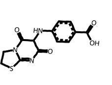 O=C(O)c1ccc(NC2C(=O)N=C3SCCN3C2=O)cc1